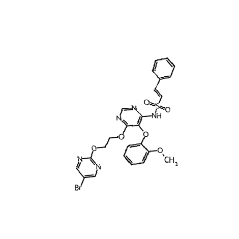 COc1ccccc1Oc1c(NS(=O)(=O)C=Cc2ccccc2)ncnc1OCCOc1ncc(Br)cn1